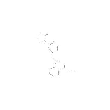 COC(=O)c1ccccc1NCc1ccnc(N2CCCC2=O)c1